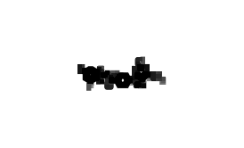 Nc1nc(Cl)nc2c1ncn2C1CCC(C(=O)Nc2nc3c(F)cc(F)cc3s2)CC1